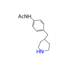 CC(=O)Nc1ccc(CC2CCNCC2)cc1